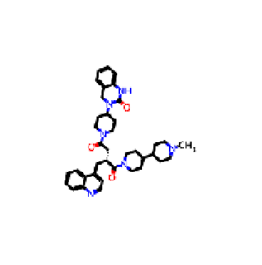 CN1CCC(C2CCN(C(=O)[C@@H](CC(=O)N3CCC(N4Cc5ccccc5NC4=O)CC3)Cc3ccnc4ccccc34)CC2)CC1